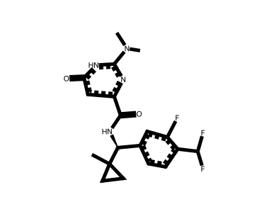 CN(C)c1nc(C(=O)N[C@@H](c2ccc(C(F)F)c(F)c2)C2(C)CC2)cc(=O)[nH]1